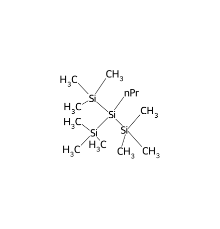 C[CH]C[Si]([Si](C)(C)C)([Si](C)(C)C)[Si](C)(C)C